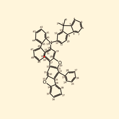 CC1(C)c2ccccc2-c2ccc(N(c3ccc4c(c3)oc3c(-c5ccccc5)c5c(cc34)oc3ccccc35)c3ccccc3-c3ccccc3)cc21